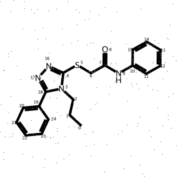 CCCn1c(SCC(=O)Nc2ccccc2)nnc1-c1ccccc1